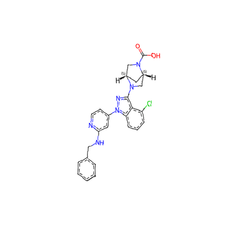 O=C(O)N1C[C@@H]2C[C@H]1CN2c1nn(-c2ccnc(NCc3ccccc3)c2)c2cccc(Cl)c12